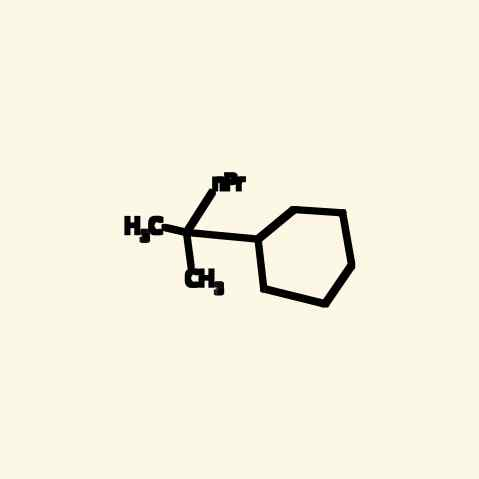 [CH2]CCC(C)(C)C1CCCCC1